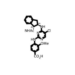 COc1cc(C(=O)O)ccc1Nc1ncc(Cl)c(N[C@@H]2Cc3ccccc3[C@H]2NC(C)=O)n1